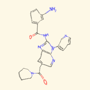 Nc1cccc(C(=O)Nc2nc3cc(C(=O)N4CCCCC4)cnc3n2-c2cccnc2)c1